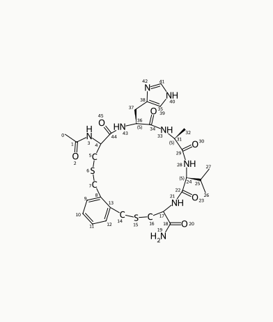 CC(=O)NC1CSCc2ccccc2CSCC(C(N)=O)NC(=O)[C@H](C(C)C)NC(=O)[C@H](C)NC(=O)[C@H](Cc2c[nH]cn2)NC1=O